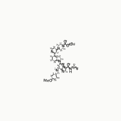 COc1ccc(CN(C)c2cc(N3CCc4c(-c5cc(N6CCN(C(=O)OC(C)(C)C)CC6)ccn5)cccc43)nn3c(C(=O)N[C@@H]4C[C@@H]4F)cnc23)cc1